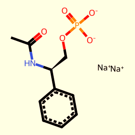 CC(=O)N[C@@H](COP(=O)([O-])[O-])c1ccccc1.[Na+].[Na+]